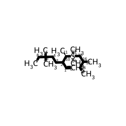 C=CC(CCC(C)(C)CC)[C@H](C)S(C)(C)CC(C)CC